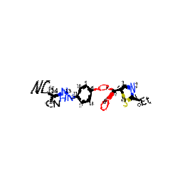 CCc1ncc(C(=O)Oc2ccc(NN=C(C#N)C#N)cc2)s1